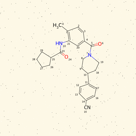 Cc1ccc(C(=O)N2CCC(c3ccc(C#N)cc3)CC2)cc1NC(=O)C1CCCC1